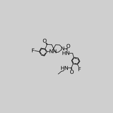 CCCNC(=O)c1cc(CNC(=O)N2CCC3(CC2)CC(=O)c2cc(F)ccc2N3)ccc1F